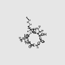 C=CCCSSC[C@H]1NC(=O)[C@@H](CCSC)NC(=O)C[C@@H](C)OC(=O)C[C@H](O)[C@@H](C(C)CC)NC1=O